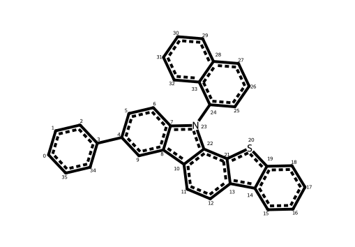 c1ccc(-c2ccc3c(c2)c2ccc4c5ccccc5sc4c2n3-c2cccc3ccccc23)cc1